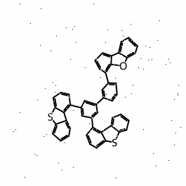 c1cc(-c2cc(-c3cccc4sc5ccccc5c34)cc(-c3cccc4sc5ccccc5c34)c2)cc(-c2cccc3c2oc2ccccc23)c1